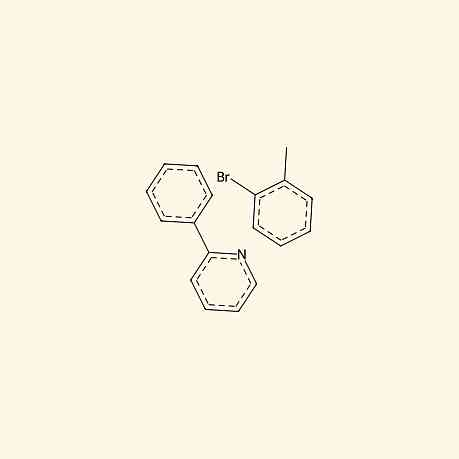 Cc1ccccc1Br.c1ccc(-c2ccccn2)cc1